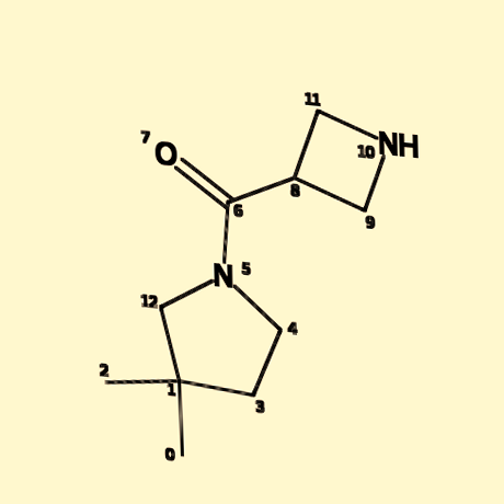 CC1(C)CCN(C(=O)C2CNC2)C1